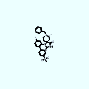 C[C@@H]1C[C@@]2(CCN1Cc1ccccc1)C(=O)NC(=O)N2c1cc(F)ccc1-c1ccc(S(C)(=O)=O)cc1